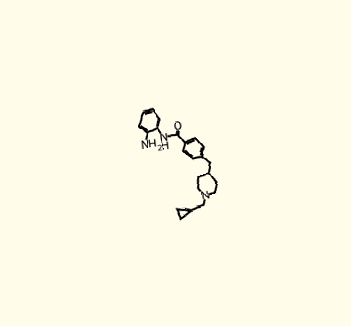 Nc1ccccc1NC(=O)c1ccc(CC2CCN(CC3CC3)CC2)cc1